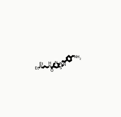 CCN(CC)CCCNC(=O)c1cnc2c(c1)sc1nc(-c3ccc(CN)cc3)cn12